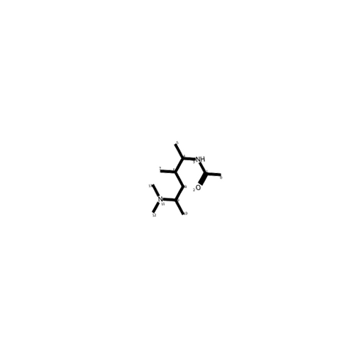 CC(=O)NC(C)C(C)CC(C)N(C)C